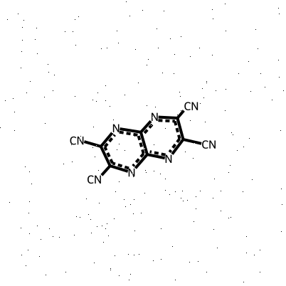 [C-]#[N+]c1nc2nc(C#N)c(C#N)nc2nc1[N+]#[C-]